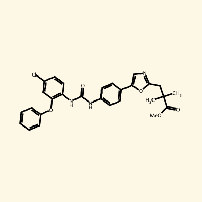 COC(=O)C(C)(C)Cc1ncc(-c2ccc(NC(=O)Nc3ccc(Cl)cc3Oc3ccccc3)cc2)o1